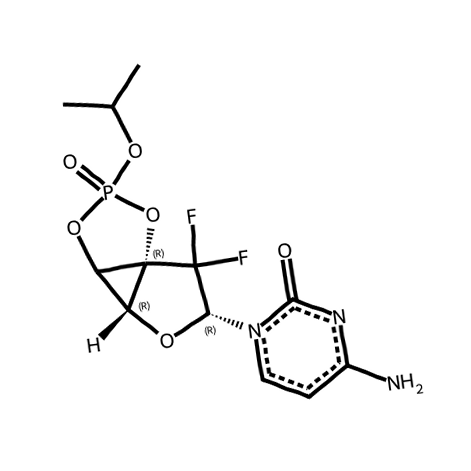 CC(C)OP1(=O)OC2[C@H]3O[C@@H](n4ccc(N)nc4=O)C(F)(F)[C@]23O1